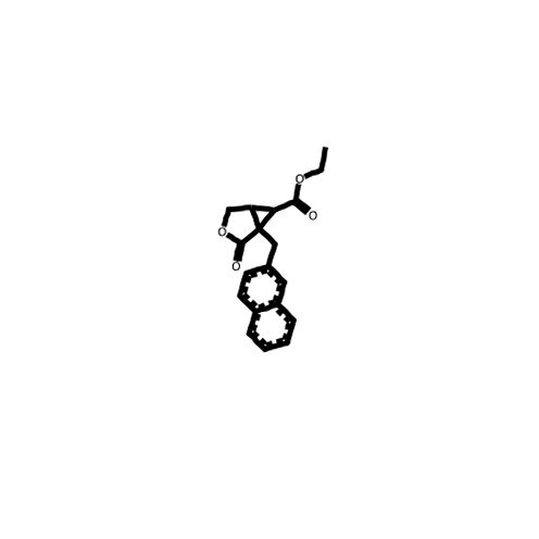 CCOC(=O)C1C2COC(=O)C21Cc1ccc2ccccc2c1